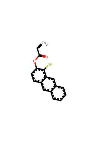 C=CC(=O)Oc1ccc2cc3ccccc3cc2c1S